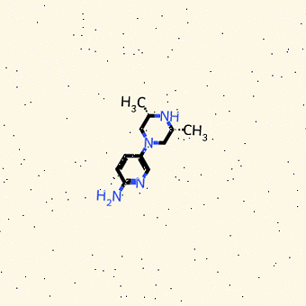 C[C@@H]1CN(c2ccc(N)nc2)C[C@H](C)N1